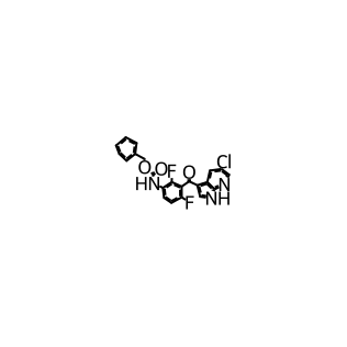 O=C(Nc1ccc(F)c(C(=O)c2c[nH]c3ncc(Cl)cc23)c1F)OCc1ccccc1